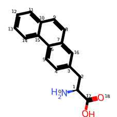 N[C@@H](Cc1ccc2c(ccc3ccccc32)c1)C(=O)O